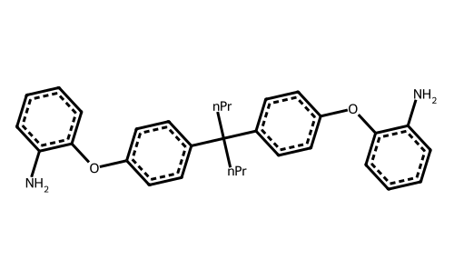 CCCC(CCC)(c1ccc(Oc2ccccc2N)cc1)c1ccc(Oc2ccccc2N)cc1